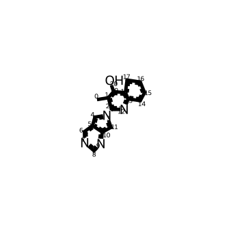 Cc1c(-n2cc3cncnc3c2)nc2ccccc2c1O